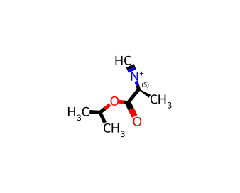 C#[N+][C@@H](C)C(=O)OC(C)C